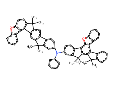 CC1(C)c2cc(N(c3ccccc3)c3ccc4c(c3)C(C)(C)c3c5c(c6c(oc7ccccc76)c3-4)-c3ccccc3C5(C)C)ccc2-c2cc3c(cc21)-c1c(ccc2oc4ccccc4c12)C3(C)C